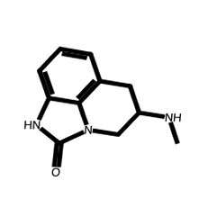 CNC1Cc2cccc3[nH]c(=O)n(c23)C1